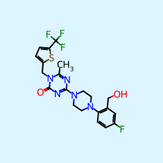 Cc1nc(N2CCN(c3ccc(F)cc3CO)CC2)nc(=O)n1Cc1ccc(C(F)(F)F)s1